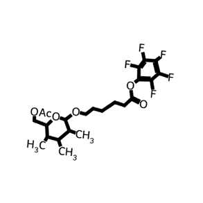 CC(=O)OCC1OC(OCCCCCC(=O)Oc2c(F)c(F)c(F)c(F)c2F)C(C)C(C)C1C